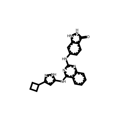 O=c1[nH][nH]c2cc(Nc3nc(Nc4cc(C5CCC5)n[nH]4)c4ccccc4n3)ccc12